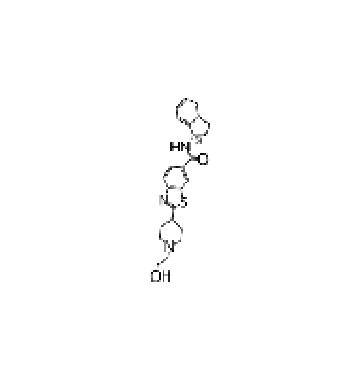 O=C(N[C@H]1CCc2ccccc21)c1ccc2nc(C3CCN(CCO)CC3)sc2c1